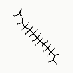 O=C(Cl)OC(F)C(F)(F)C(F)(F)C(F)(F)C(F)(F)C(F)(F)C(F)(F)C(F)(F)C(F)(F)C(F)C(F)F